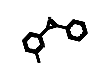 Cc1cccc(C2N=C2c2ccccc2)n1